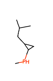 CPC1CC1CC(C)C